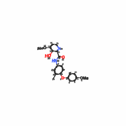 COc1ccc(Oc2ccc(NC(=O)c3nccc(OC)c3O)cc2C)cc1